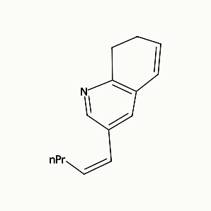 CCC/C=C\c1cnc2c(c1)C=CCC2